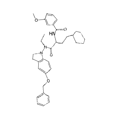 CCN(C(=O)C(CCC1CCCCC1)NC(=O)c1cccc(OC)c1)N1CCc2cc(OCc3ccccc3)ccc21